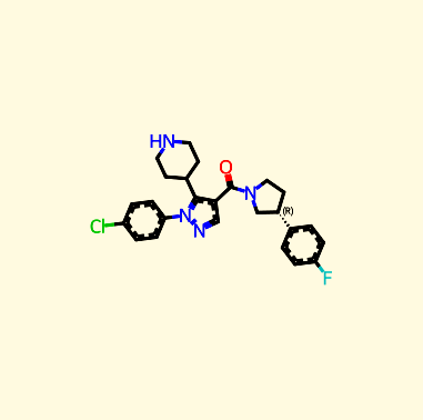 O=C(c1cnn(-c2ccc(Cl)cc2)c1C1CCNCC1)N1CC[C@H](c2ccc(F)cc2)C1